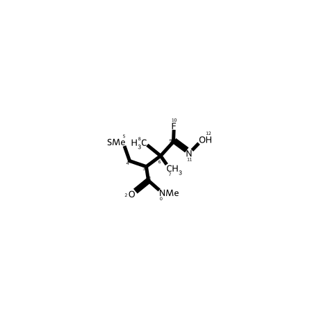 CNC(=O)C(CSC)C(C)(C)C(F)=NO